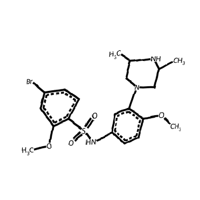 COc1ccc(NS(=O)(=O)c2ccc(Br)cc2OC)cc1N1CC(C)NC(C)C1